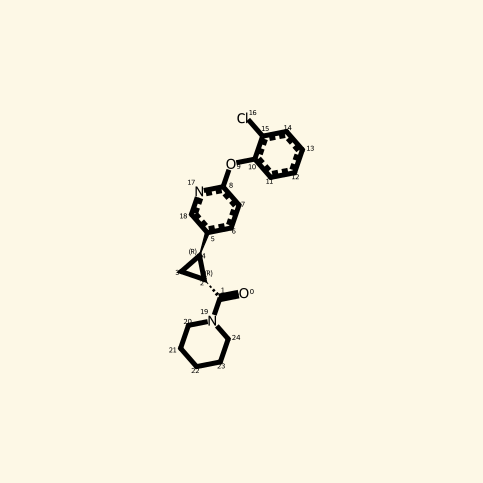 O=C([C@@H]1C[C@H]1c1ccc(Oc2ccccc2Cl)nc1)N1CCCCC1